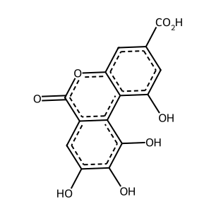 O=C(O)c1cc(O)c2c(c1)oc(=O)c1cc(O)c(O)c(O)c12